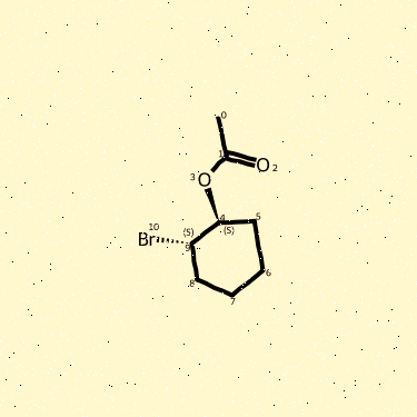 CC(=O)O[C@H]1CCCC[C@@H]1Br